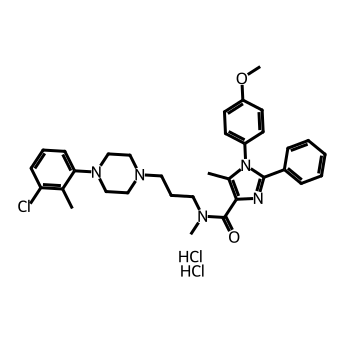 COc1ccc(-n2c(-c3ccccc3)nc(C(=O)N(C)CCCN3CCN(c4cccc(Cl)c4C)CC3)c2C)cc1.Cl.Cl